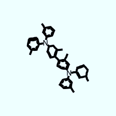 CC1=C(c2ccc(N(C3=CC(C)CC=C3)c3cccc(C)c3)cc2C)C=CC(N(c2c#ccc(C)c2)c2cccc(C)c2)C1